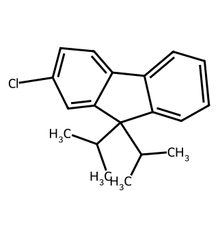 CC(C)C1(C(C)C)c2ccccc2-c2ccc(Cl)cc21